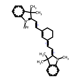 CCC[N+]1=C(/C=C/C2=CC(=C/C=C3/N(C)c4ccccc4C3(C)C)/CCC2)C(C)(C)c2ccccc21